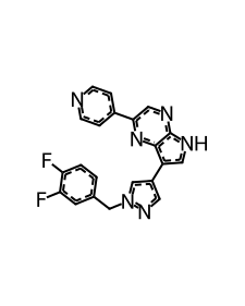 Fc1ccc(Cn2cc(-c3c[nH]c4ncc(-c5ccncc5)nc34)cn2)cc1F